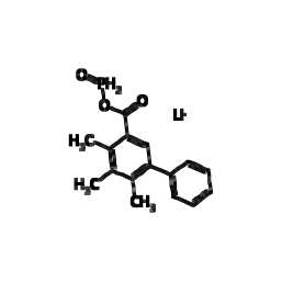 Cc1c(C(=O)O[PH2]=O)cc(-c2ccccc2)c(C)c1C.[Li]